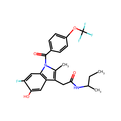 CCC(C)NC(=O)Cc1c(C)n(C(=O)c2ccc(OC(F)(F)F)cc2)c2cc(F)c(O)cc12